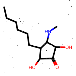 CCCCCCC1C(O)C(=O)C(O)C1NC